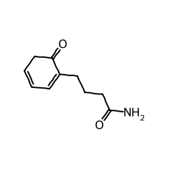 NC(=O)CCCC1=CC=CCC1=O